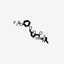 Cc1csc(NC(=O)c2ccc(COc3cccc(OC(F)(F)F)c3)o2)n1